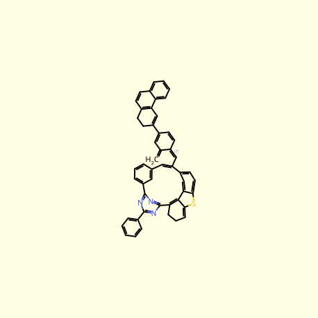 C=c1cc(C2=Cc3c(ccc4ccccc34)CC2)cc/c1=C/c1cc2cccc(c2)c2nc(-c3ccccc3)nc(n2)c2c3c(sc4ccc1cc43)=CCC2